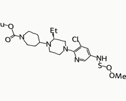 CC[C@H]1CN(c2ncc(NSOOC)cc2Cl)CCN1C1CCN(C(=O)OC(C)(C)C)CC1